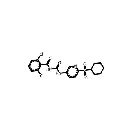 O=C(NC(=O)c1c(Cl)cccc1Cl)Nc1ccc(S(=O)(=O)C2CCCCC2)nc1